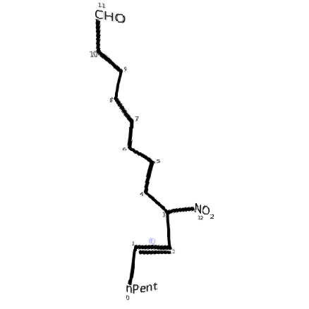 CCCCC/C=C/C(CCCCCCCC=O)[N+](=O)[O-]